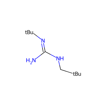 CC(C)(C)CN/C(N)=N/C(C)(C)C